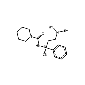 CC(C)N(CC[C@@](C#N)(NC(=O)N1CCCCC1)c1ccccc1)C(C)C